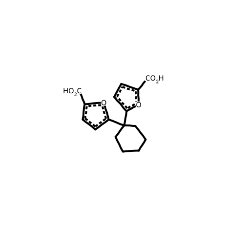 O=C(O)c1ccc(C2(c3ccc(C(=O)O)o3)CCCCC2)o1